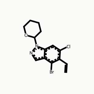 C=Cc1c(Cl)cc2c(cnn2C2CCCCO2)c1Br